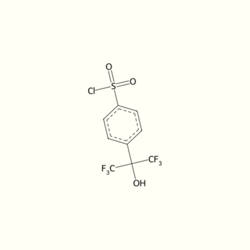 O=S(=O)(Cl)c1ccc(C(O)(C(F)(F)F)C(F)(F)F)cc1